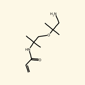 C=CC(=O)NC(C)(C)COC(C)(C)CN